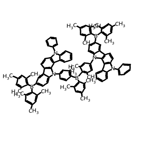 Cc1cc(C)c(B(c2ccc3c(c2)c2ccc4c(c5ccccc5n4-c4ccccc4)c2n3-c2ccc(B(c3c(C)cc(C)cc3C)c3c(C)cc(-n4c5ccc(B(c6c(C)cc(C)cc6C)c6c(C)cc(C)cc6C)cc5c5ccc6c(c7ccccc7n6-c6ccccc6)c54)cc3C)c(C)c2)c2c(C)cc(C)cc2C)c(C)c1